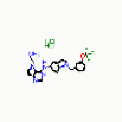 Cl.Cl.NCCn1ccc2ncnc(Nc3ccc4c(ccn4Cc4cccc(OC(F)(F)F)c4)c3)c21